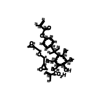 C(OCC1CO1)C1CO1.C=C(C)C(=O)O.C=C(C)C(=O)Oc1ccc(C(C)(C)c2c(Br)c(Br)c(O)c(Br)c2Br)cc1